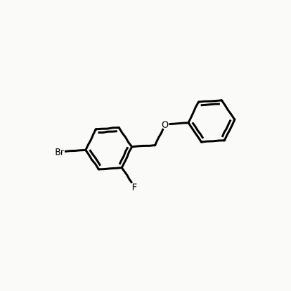 Fc1cc(Br)ccc1COc1ccccc1